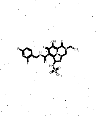 CCN1CC2CC(NS(C)(=O)=O)c3c(C(=O)NCc4ccc(F)cc4F)c(=O)c(O)c(n32)C1=O